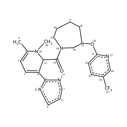 CC1=CC=C(c2ncccn2)C(C(=O)N2CCCCC(Oc3ccc(C(F)(F)F)cn3)C2)N1C